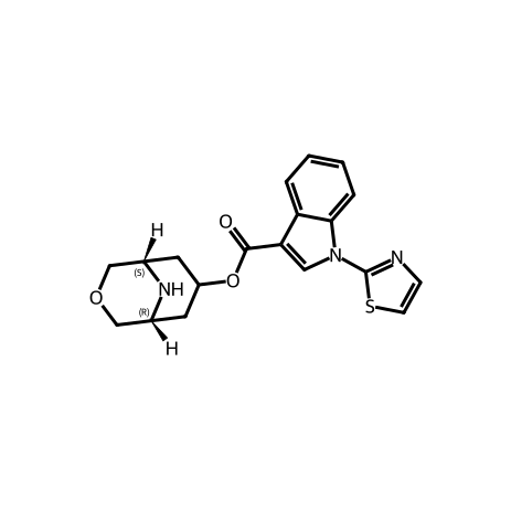 O=C(OC1C[C@H]2COC[C@@H](C1)N2)c1cn(-c2nccs2)c2ccccc12